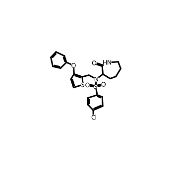 O=C1NCCCCC1N(Cc1sccc1Oc1ccccc1)S(=O)(=O)c1ccc(Cl)cc1